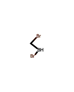 BrBCBr